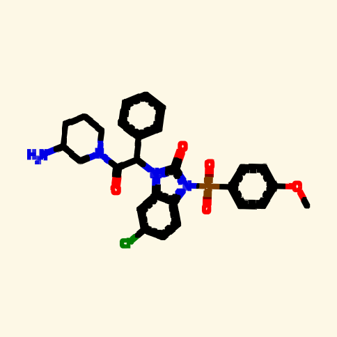 COc1ccc(S(=O)(=O)n2c(=O)n(C(C(=O)N3CCCC(N)C3)c3ccccc3)c3cc(Cl)ccc32)cc1